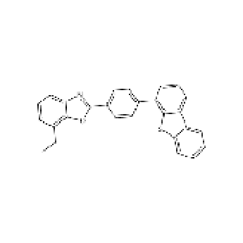 CCc1cccc2nc(-c3ccc(-c4cccc5c4sc4ccccc45)cc3)oc12